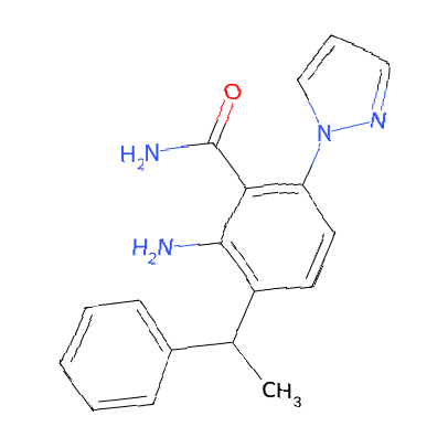 CC(c1ccccc1)c1ccc(-n2cccn2)c(C(N)=O)c1N